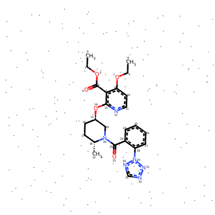 CCOC(=O)c1c(OCC)ccnc1O[C@@H]1CC[C@@H](C)N(C(=O)c2ccccc2-n2ncnn2)C1